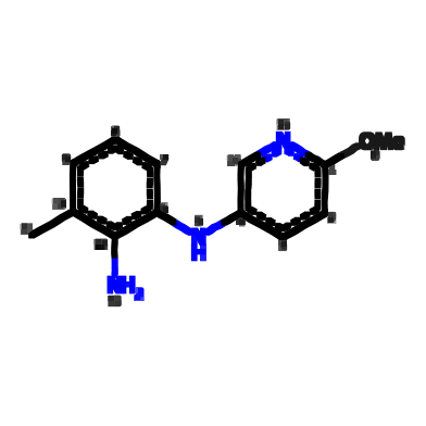 COc1ccc(Nc2cccc(C)c2N)cn1